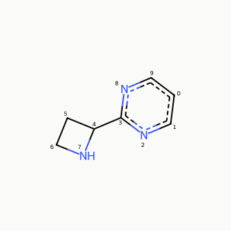 c1cnc(C2CCN2)nc1